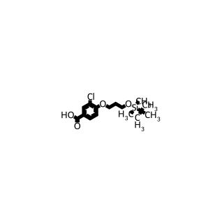 CC(C)(C)[Si](C)(C)OCCCOc1ccc(C(=O)O)cc1Cl